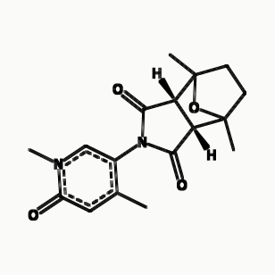 Cc1cc(=O)n(C)cc1N1C(=O)[C@@H]2[C@H](C1=O)C1(C)CCC2(C)O1